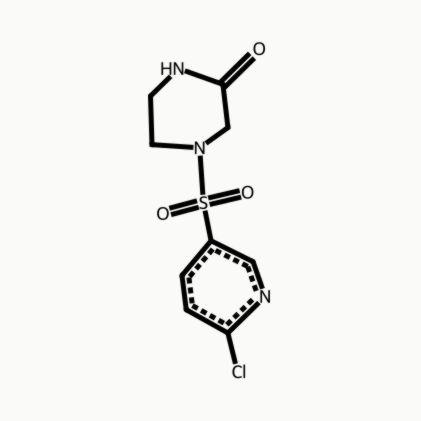 O=C1CN(S(=O)(=O)c2ccc(Cl)nc2)CCN1